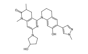 CC1Cc2c(cc(N3CCC(O)C3)nc2N2CCCc3cc(-c4cnn(C)c4)c(O)cc32)N(C)C1=O